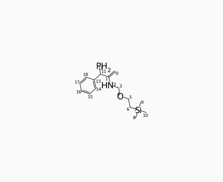 C=C(NCOCC[Si](C)(C)C)C(P)c1ccccc1